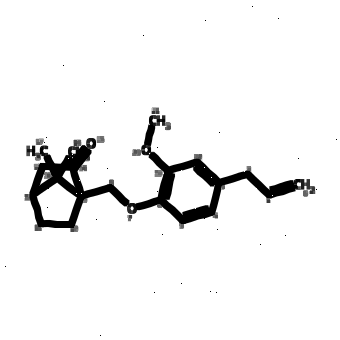 C=CCc1ccc(OCC23CCC(CC2=O)C3(C)C)c(OC)c1